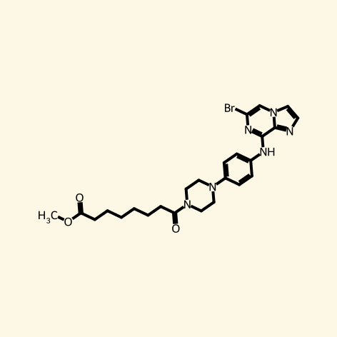 COC(=O)CCCCCCC(=O)N1CCN(c2ccc(Nc3nc(Br)cn4ccnc34)cc2)CC1